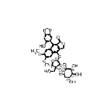 COc1cc2c(O[C@@H]3OC[C@](O)(CO)[C@H]3O[C@@H]3OC[C@@H](O)[C@H](O)[C@H]3O)c3c(c(-c4cc5c(cc4O)OCO5)c2cc1OC)C(=O)OC3